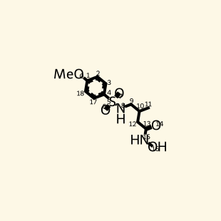 COc1ccc(S(=O)(=O)NCC(C)CC(=O)NO)cc1